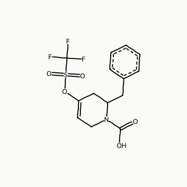 O=C(O)N1CC=C(OS(=O)(=O)C(F)(F)F)CC1Cc1ccccc1